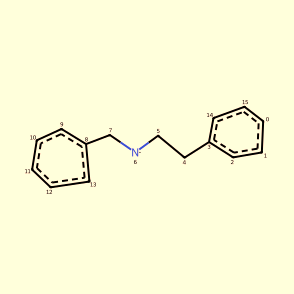 c1ccc(CC[N]Cc2ccccc2)cc1